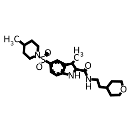 CC1CCN(S(=O)(=O)c2ccc3c(c2)C(C)C(C(=O)NCCC2CCOCC2)N3)CC1